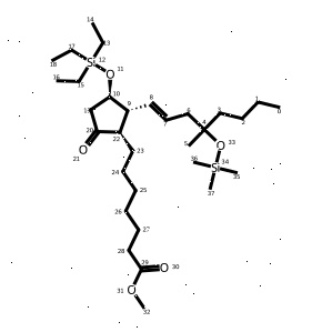 CCCCC(C)(C/C=C/[C@H]1[C@H](O[Si](CC)(CC)CC)CC(=O)[C@@H]1CCCCCCC(=O)OC)O[Si](C)(C)C